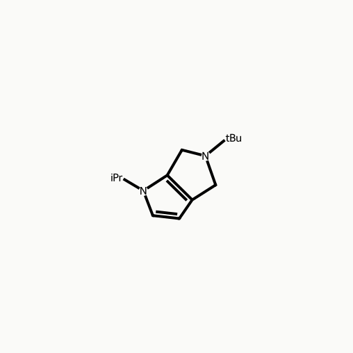 CC(C)n1ccc2c1CN(C(C)(C)C)C2